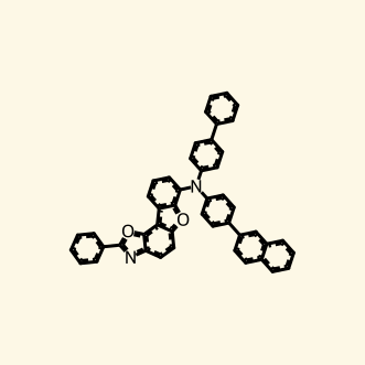 c1ccc(-c2ccc(N(c3ccc(-c4ccc5ccccc5c4)cc3)c3cccc4c3oc3ccc5nc(-c6ccccc6)oc5c34)cc2)cc1